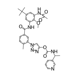 COc1c(NC(=O)c2ccc(C)c(-n3cc(OC(=O)NC(C)c4cccnc4)nn3)c2)cc(C(C)(C)C)cc1NS(C)(=O)=O